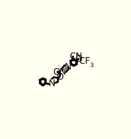 C[C@@H]1CN(c2ccc(OC(F)(F)F)c(C#N)c2)CCN1C(=O)OC1CCN(Cc2ccccc2)CC1